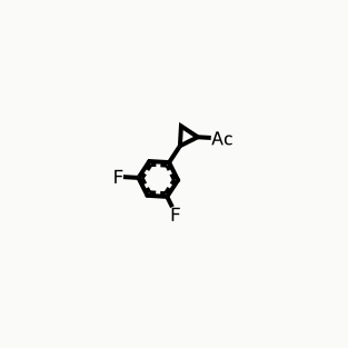 CC(=O)C1CC1c1cc(F)cc(F)c1